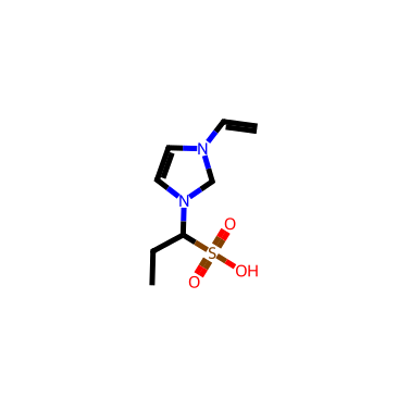 C=CN1C=CN(C(CC)S(=O)(=O)O)C1